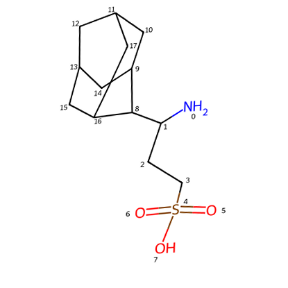 NC(CCS(=O)(=O)O)C1C2CC3CC(C2)CC1C3